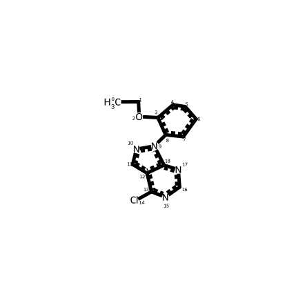 CCOc1ccccc1-n1ncc2c(Cl)ncnc21